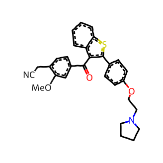 COc1cc(C(=O)c2c(-c3ccc(OCCN4CCCC4)cc3)sc3ccccc23)ccc1CC#N